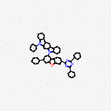 c1ccc(-c2cc(-n3c4ccccc4c4cc5c6ccccc6n(-c6ccccc6)c5cc43)c3c(c2)oc2cc(-c4nc(-c5ccccc5)nc(-c5ccccc5)n4)ccc23)cc1